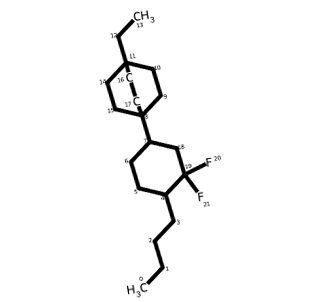 CCCCC1CCC(C23CCC(CC)(CC2)CC3)CC1(F)F